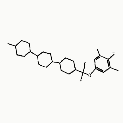 Cc1cc(OC(F)(F)C2CCC(C3CCC(C4CCC(C)CC4)CC3)CC2)cc(C)c1F